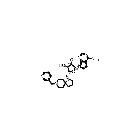 Nc1ncnc2c1ccn2[C@@H]1O[C@H](CN2CCCC23CCN(Cc2cccnc2)CC3)[C@@H](O)[C@H]1O